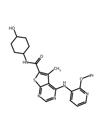 Cc1c(C(=O)NC2CCC(O)CC2)sc2ncnc(Nc3cccnc3OC(C)C)c12